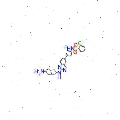 NC1CC2CC(Nc3ncc4cc(-c5ccc(NS(=O)(=O)c6ccccc6Cl)c(F)c5)ccc4n3)CC2C1